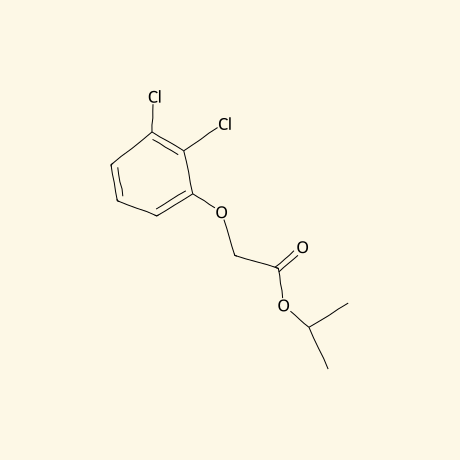 CC(C)OC(=O)COc1cccc(Cl)c1Cl